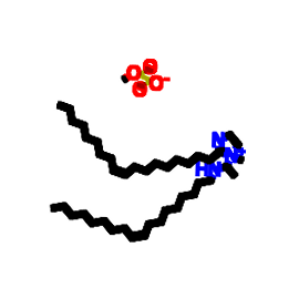 CCCCCCCC/C=C\CCCCCCCCNC(C)[N+]1(C)CCN=C1CCCCCCCC/C=C\CCCCCCCC.COS(=O)(=O)[O-]